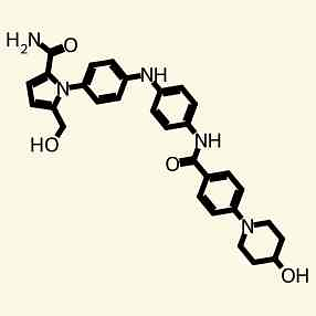 NC(=O)c1ccc(CO)n1-c1ccc(Nc2ccc(NC(=O)c3ccc(N4CCC(O)CC4)cc3)cc2)cc1